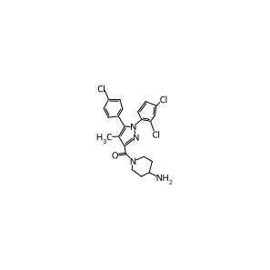 Cc1c(C(=O)N2CCC(N)CC2)nn(-c2ccc(Cl)cc2Cl)c1-c1ccc(Cl)cc1